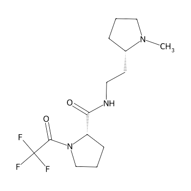 CN1CCC[C@H]1CCNC(=O)[C@@H]1CCCN1C(=O)C(F)(F)F